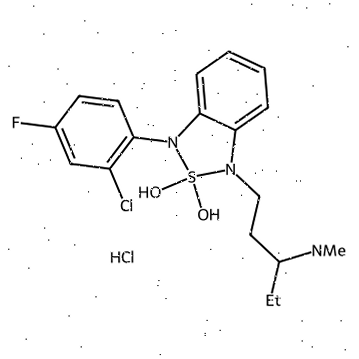 CCC(CCN1c2ccccc2N(c2ccc(F)cc2Cl)S1(O)O)NC.Cl